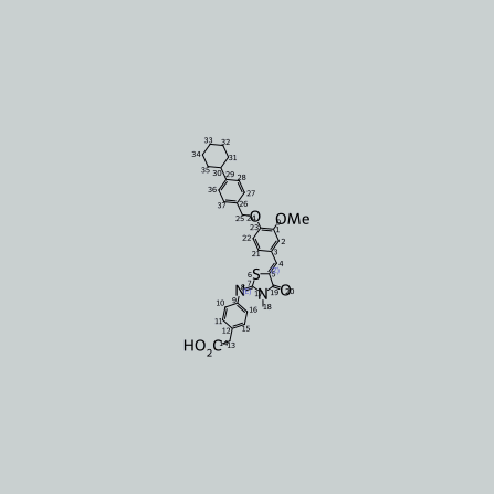 COc1cc(/C=C2\S/C(=N/c3ccc(CC(=O)O)cc3)N(C)C2=O)ccc1OCc1ccc(C2CCCCC2)cc1